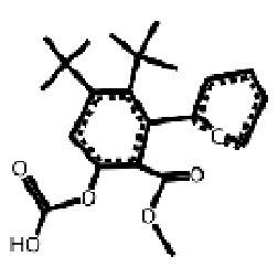 COC(=O)c1c(OC(=O)O)cc(C(C)(C)C)c(C(C)(C)C)c1-c1ccccc1